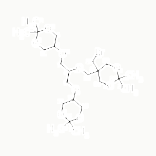 CC1(C)OCC(OCC(COC2COC(C)(C)OC2)OCC2(CBr)COC(C)(C)OC2)CO1